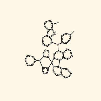 Cc1ccc(N(c2cc3c(c4ccccc24)-c2c(ccc4ccccc24)C32c3ccccc3N(c3ccccc3)c3ccccc32)c2cccc3c2oc2c(C)cccc23)cc1